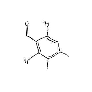 [2H]c1cc(C)c(C)c([2H])c1C=O